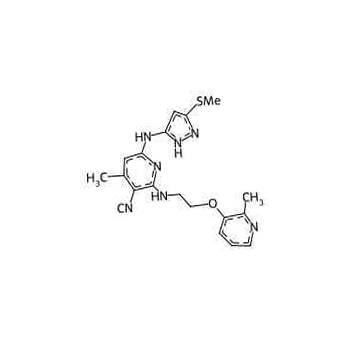 [C-]#[N+]c1c(C)cc(Nc2cc(SC)n[nH]2)nc1NCCOc1cccnc1C